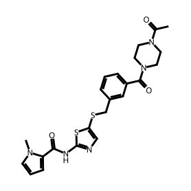 CC(=O)N1CCN(C(=O)c2cccc(CSc3cnc(NC(=O)c4cccn4C)s3)c2)CC1